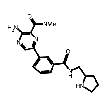 CNC(=O)c1nc(-c2cccc(C(=O)NCC3CCCN3)c2)cnc1N